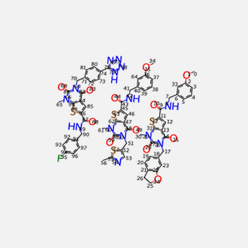 COc1cccc(CNC(=O)c2cc3c(=O)n(Cc4ccc5c(c4)OCC5)c(=O)n(C)c3s2)c1.COc1cccc(CNC(=O)c2cc3c(=O)n(Cc4cnc(C)s4)c(=O)n(C)c3s2)c1.Cn1c(=O)n(Cc2ccc(-c3nnn[nH]3)cc2)c(=O)c2cc(C(=O)NCc3ccc(F)cc3)sc21